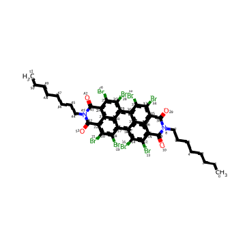 CCCCCCCCN1C(=O)c2c(Br)c(Br)c3c4c(Br)c(Br)c5c6c(c(Br)c(Br)c(c7c(Br)c(Br)c(c2c37)C1=O)c64)C(=O)N(CCCCCCCC)C5=O